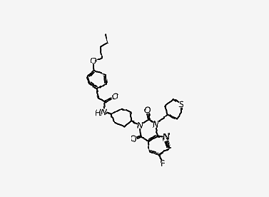 CCCCOc1ccc(CC(=O)NC2CCC(n3c(=O)c4cc(F)cnc4n(C4CCSCC4)c3=O)CC2)cc1